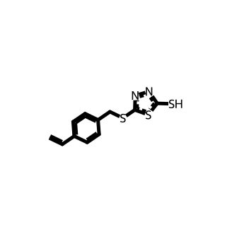 C=CC1=C=C=C(CSc2nnc(S)s2)C=C1